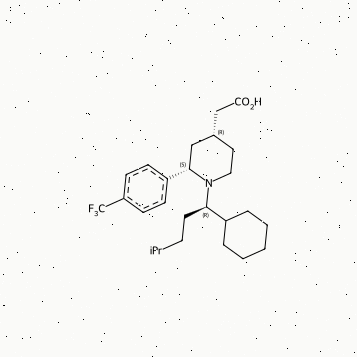 CC(C)CC[C@H](C1CCCCC1)N1CC[C@@H](CC(=O)O)C[C@H]1c1ccc(C(F)(F)F)cc1